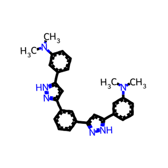 CN(C)c1cccc(-c2cc(-c3cccc(-c4cc(-c5cccc(N(C)C)c5)[nH]n4)c3)n[nH]2)c1